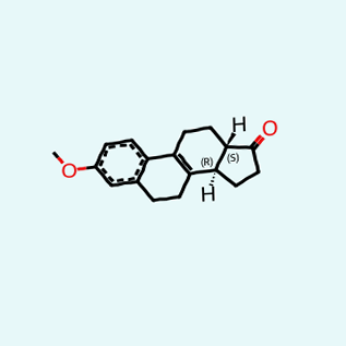 COc1ccc2c(c1)CCC1=C2CC[C@@H]2C(=O)CC[C@@H]12